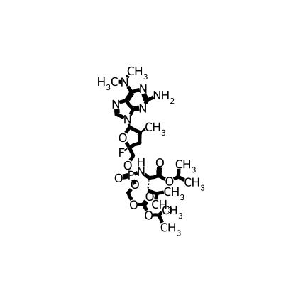 CC(C)C[C@H](NP(=O)(OCOC(=O)OC(C)C)OC[C@]1(F)C[C@H](C)[C@H](n2cnc3c(N(C)C)nc(N)nc32)O1)C(=O)OC(C)C